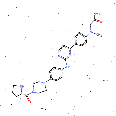 CNC(=O)CN(C)c1ccc(-c2ccnc(Nc3ccc(N4CCN(C(=O)[C@@H]5CCCN5)CC4)cc3)n2)cc1